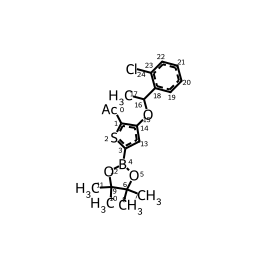 CC(=O)c1sc(B2OC(C)(C)C(C)(C)O2)cc1OC(C)c1ccccc1Cl